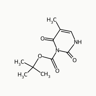 Cc1c[nH]c(=O)n(C(=O)OC(C)(C)C)c1=O